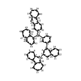 c1cc(-c2cc(-n3c4ccccc4c4ccccc43)cc3ccccc23)cc(N(c2ccc3c(c2)sc2ccccc23)c2cccc3ccccc23)c1